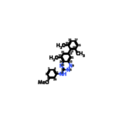 COc1cccc(Nc2nnc3cc(-c4c(C)cccc4C)cc(C)c3n2)c1